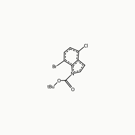 CC(C)(C)OC(=O)n1ccc2c(Cl)ccc(Br)c21